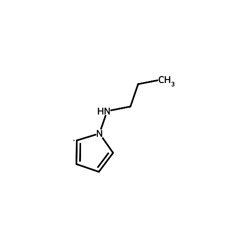 CCCNn1[c]ccc1